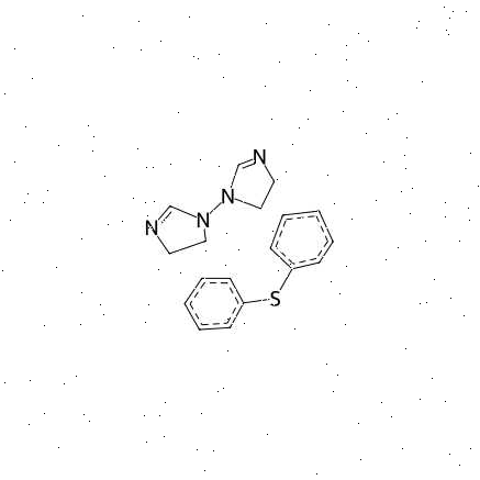 C1=NCCN1N1C=NCC1.c1ccc(Sc2ccccc2)cc1